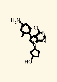 Nc1ccc(-c2cn(C3CCC(O)C3)c3ncnc(Cl)c23)c(F)c1